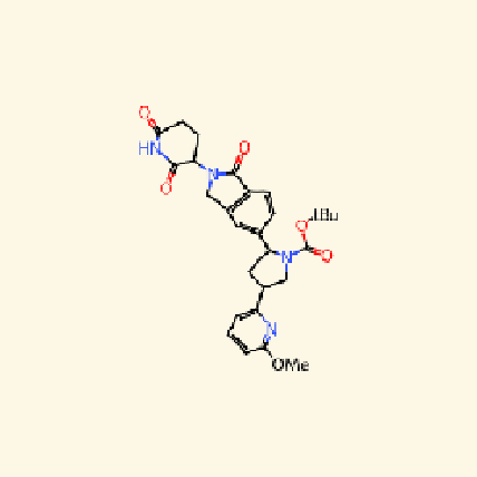 COc1cccc(C2CC(c3ccc4c(c3)CN(C3CCC(=O)NC3=O)C4=O)N(C(=O)OC(C)(C)C)C2)n1